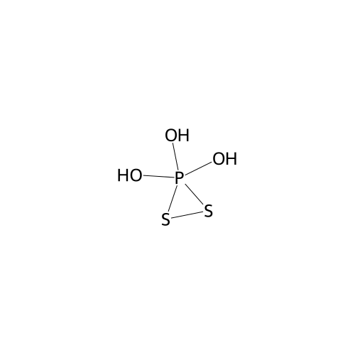 OP1(O)(O)SS1